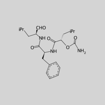 CC(C)C[C@@H](C=O)NC(=O)[C@H](Cc1ccccc1)NC(=O)[C@H](CC(C)C)OC(N)=O